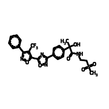 CC(O)(C(=O)NCCS(C)(=O)=O)c1ccc(-c2noc(-c3onc(-c4ccccc4)c3C(F)(F)F)n2)cc1